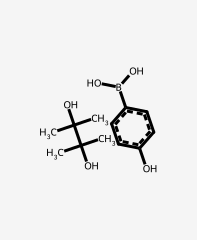 CC(C)(O)C(C)(C)O.OB(O)c1ccc(O)cc1